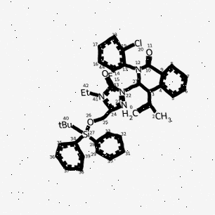 C=C(C)C1c2ccccc2C(=O)N(c2c(F)cccc2Cl)C1n1nc(CO[Si](c2ccccc2)(c2ccccc2)C(C)(C)C)n(CC)c1=O